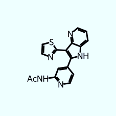 CC(=O)Nc1cc(-c2[nH]c3cccnc3c2-c2nccs2)ccn1